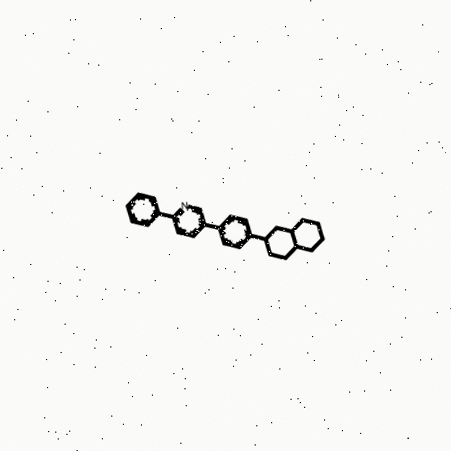 c1ccc(-c2ccc(-c3ccc(C4CCC5CCCCC5C4)cc3)cn2)cc1